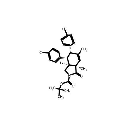 CC1=C[C@@]2(C)C(=O)N(C(=O)OC(C)(C)C)C[C@H]2[C@@H](c2ccc(Cl)cc2)[C@@H]1c1ccc(Cl)cc1